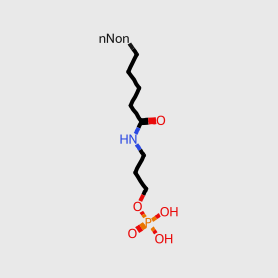 CCCCCCCCCCCCCC(=O)NCCCOP(=O)(O)O